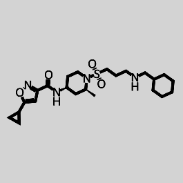 C[C@H]1C[C@@H](NC(=O)c2cc(C3CC3)on2)CCN1S(=O)(=O)CCCNCC1CCCCC1